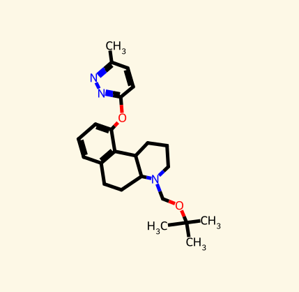 Cc1ccc(Oc2cccc3c2C2CCCN(COC(C)(C)C)C2CC3)nn1